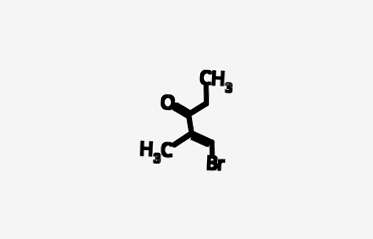 CCC(=O)C(C)=CBr